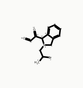 CC(Br)CN1Cc2ccccc2C1C(=O)C=O